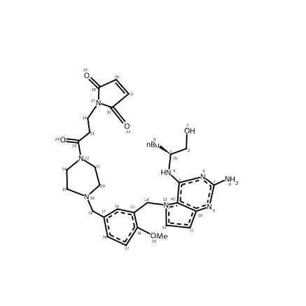 CCCC[C@@H](CO)Nc1nc(N)nc2ccn(Cc3cc(CN4CCN(C(=O)CCN5C(=O)C=CC5=O)CC4)ccc3OC)c12